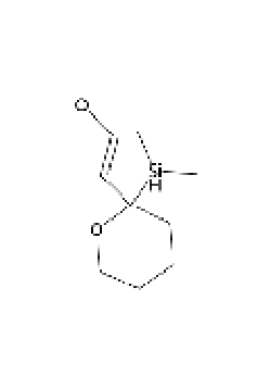 C[SiH](C)C1(C=C[O])CCCCO1